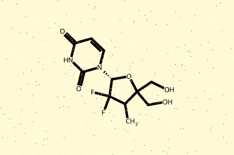 CC1C(CO)(CO)O[C@@H](n2ccc(=O)[nH]c2=O)C1(F)F